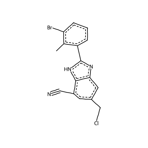 Cc1c(Br)cccc1-c1nc2cc(CCl)cc(C#N)c2[nH]1